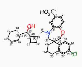 O=C(O)c1ccc2c(c1)N(C[C@@H]1CC[C@H]1[C@H](O)[C@@H]1C=CCCC1)CC1(CCCc3cc(Cl)ccc31)CO2